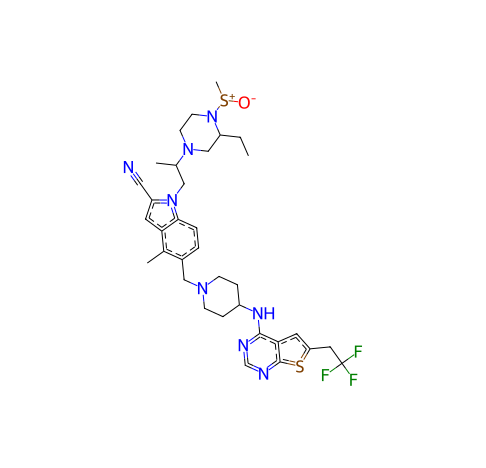 CCC1CN(C(C)Cn2c(C#N)cc3c(C)c(CN4CCC(Nc5ncnc6sc(CC(F)(F)F)cc56)CC4)ccc32)CCN1[S+](C)[O-]